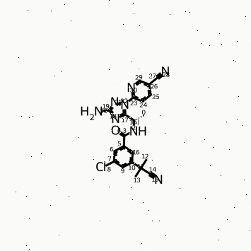 C[C@H](NC(=O)c1cc(Cl)cc(C(C)(C)C#N)c1)c1nc(N)nn1-c1ccc(C#N)cn1